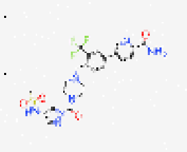 CS(=O)(=O)Nc1cnn(C(=O)N2CCN(Cc3ccc(-c4ccc(C(N)=O)nc4)cc3C(F)(F)F)CC2)c1